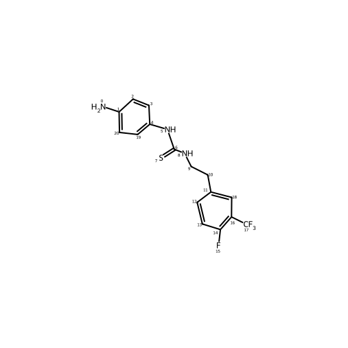 Nc1ccc(NC(=S)NCCc2ccc(F)c(C(F)(F)F)c2)cc1